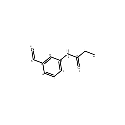 CCC(=O)Nc1cccc([C]=O)c1